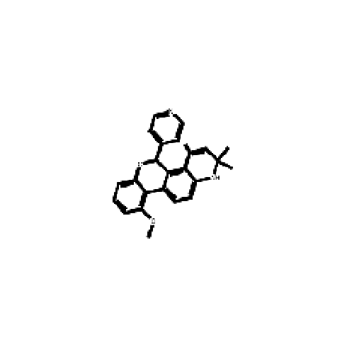 COc1cccc2c1-c1ccc3c(c1C(c1ccncc1)O2)C(C)=CC(C)(C)N3